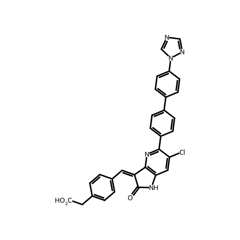 O=C(O)Cc1ccc(C=C2C(=O)Nc3cc(Cl)c(-c4ccc(-c5ccc(-n6cncn6)cc5)cc4)nc32)cc1